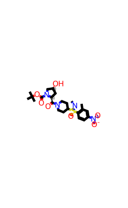 CN=S(=O)(c1ccc([N+](=O)[O-])cc1C)C1CCN(C(=O)[C@@H]2C[C@@H](O)CN2C(=O)OC(C)(C)C)CC1